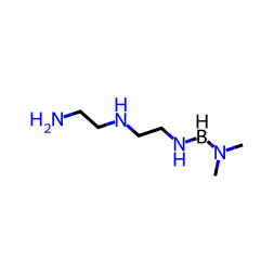 CN(C)BNCCNCCN